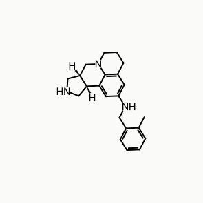 Cc1ccccc1CNc1cc2c3c(c1)[C@@H]1CNC[C@@H]1CN3CCC2